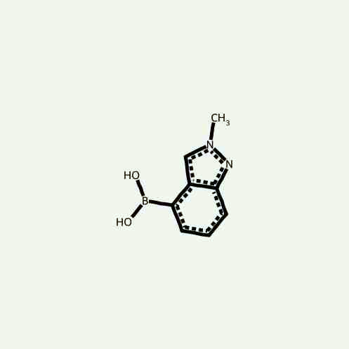 Cn1cc2c(B(O)O)cccc2n1